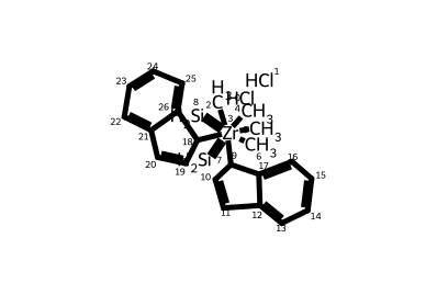 Cl.Cl.[CH3][Zr]([CH3])([CH3])([CH3])(=[SiH2])(=[SiH2])([CH]1C=Cc2ccccc21)[CH]1C=Cc2ccccc21